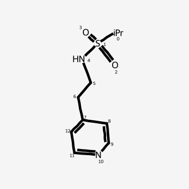 CC(C)S(=O)(=O)NCCc1ccncc1